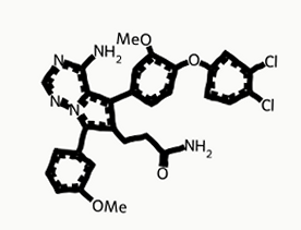 COc1cccc(-c2c(CCC(N)=O)c(-c3ccc(Oc4ccc(Cl)c(Cl)c4)c(OC)c3)c3c(N)ncnn23)c1